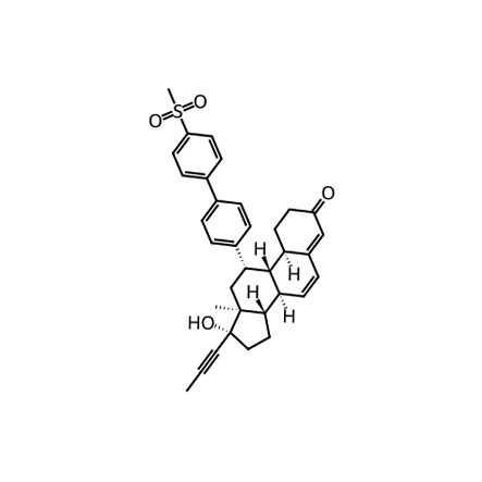 CC#C[C@]1(O)CC[C@H]2[C@@H]3C=CC4=CC(=O)CC[C@@H]4[C@H]3[C@@H](c3ccc(-c4ccc(S(C)(=O)=O)cc4)cc3)C[C@@]21C